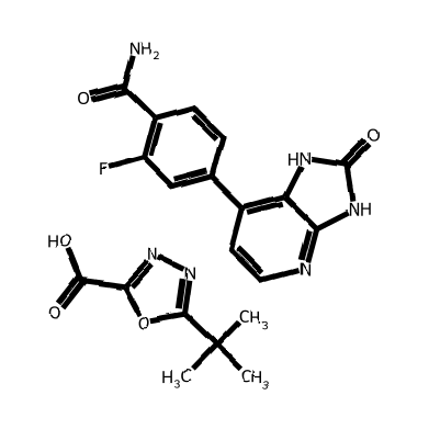 CC(C)(C)c1nnc(C(=O)O)o1.NC(=O)c1ccc(-c2ccnc3[nH]c(=O)[nH]c23)cc1F